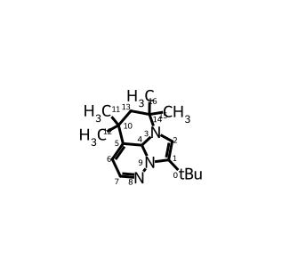 CC(C)(C)C1=CN2C3C(=CC=NN13)C(C)(C)CC2(C)C